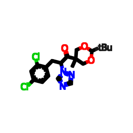 CC1(C(=O)C(Cc2ccc(Cl)cc2Cl)n2cncn2)COC(C(C)(C)C)OC1